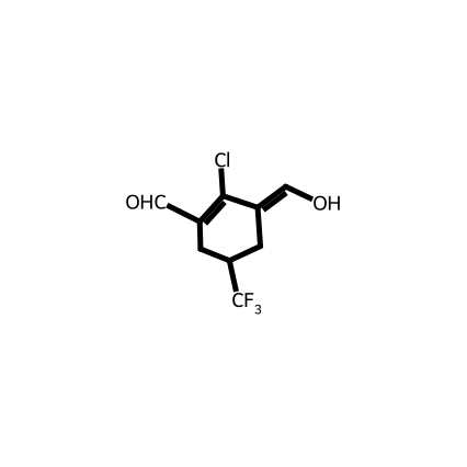 O=CC1=C(Cl)/C(=C/O)CC(C(F)(F)F)C1